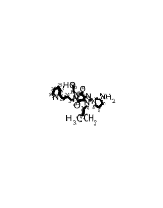 CC(C)=CCn1c(N2CCCC(N)C2)nc2c(=O)n(CCO)n(CC=Cc3ccccn3)c(=O)c21